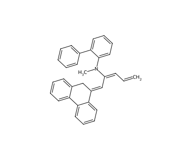 C=C/C=C(\C=C1/Cc2ccccc2-c2ccccc21)N(C)c1ccccc1-c1ccccc1